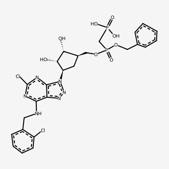 O=P(O)(O)CP(=O)(OCc1ccccc1)OC[C@H]1C[C@@H](n2nnc3c(NCc4ccccc4Cl)nc(Cl)nc32)[C@H](O)[C@@H]1O